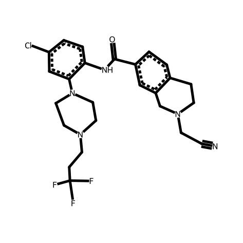 N#CCN1CCc2ccc(C(=O)Nc3ccc(Cl)cc3N3CCN(CCC(F)(F)F)CC3)cc2C1